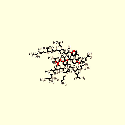 CC[C@H](C)[C@H](N)C(=O)N[C@@H](CO)C(=O)N[C@@H](CCCNC(=N)N)C(=O)N[C@@H](CCCCN)C(=O)N[C@@H](Cc1ccc(O)cc1)C(=O)N[C@@H](CCC(N)=O)C(=O)N[C@@H](CO)C(=O)N[C@@H](CCC(=O)O)C(=O)N[C@@H](Cc1ccccc1)C(=O)N[C@@H](CCC(=O)O)C(=O)N[C@@H](CCC(=O)O)C(=O)N[C@H](C(=O)N[C@@H](CCC(=O)O)C(=O)NCC(=O)N[C@@H](CCCNC(=N)N)C(=O)O)[C@@H](C)CC